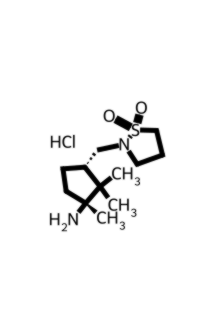 CC1(C)[C@@H](CN2CCCS2(=O)=O)CC[C@@]1(C)N.Cl